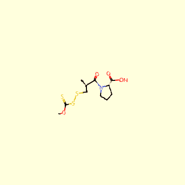 COC(=S)SSC[C@@H](C)C(=O)N1CCC[C@H]1C(=O)O